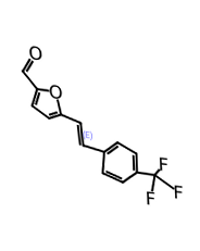 O=Cc1ccc(/C=C/c2ccc(C(F)(F)F)cc2)o1